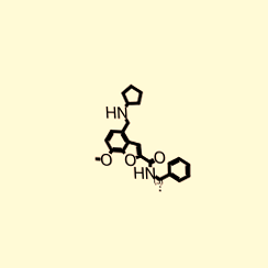 COc1ccc(CNC2CCCC2)c2cc(C(=O)N[C@@H](C)c3ccccc3)oc12